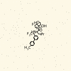 Cc1ccc(-c2cccc([C@H](NC(CC(C)C)C(=O)N3C[C@H](F)[C@H]4OC[C@H](O)[C@H]43)C(F)(F)F)c2)cc1